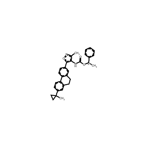 Cc1noc(-c2ccc3c(c2)CCc2cc(C4(C)CC4)ccc2-3)c1NC(=O)O[C@H](C)c1ccccc1